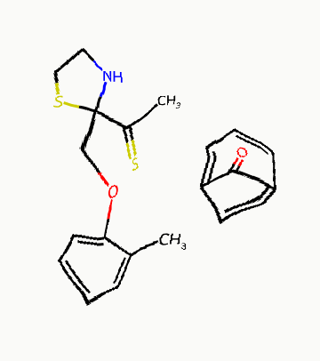 CC(=S)C1(COc2ccccc2C)NCCS1.O=C1c2cccc1c2